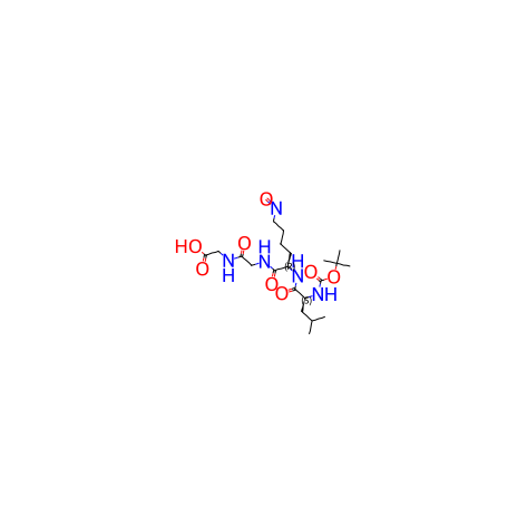 CC(C)C[C@H](NC(=O)OC(C)(C)C)C(=O)N[C@H](CCCCN=O)C(=O)NCC(=O)NCC(=O)O